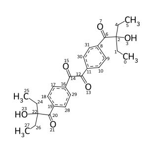 CCC(O)(CC)C(=O)c1ccc(C(=O)C(=O)c2ccc(C(=O)C(O)(CC)CC)cc2)cc1